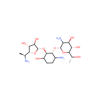 C[C@H](N)[C@H]1O[C@@H](O[C@@H]2C(O)CCC(N)[C@H]2O[C@H]2OC([C@@H](C)O)[C@@H](O)[C@H](O)C2N)C(O)[C@H]1O